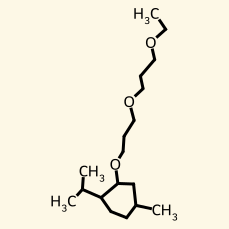 CCOCCCOCCCOC1CC(C)CCC1C(C)C